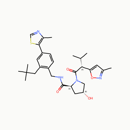 Cc1cc([C@H](C(=O)N2C[C@H](O)C[C@H]2C(=O)NCc2ccc(-c3scnc3C)cc2CC(C)(C)C)C(C)C)on1